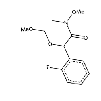 COCOC(C(=O)N(C)OC)c1ccccc1F